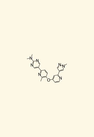 Cc1nc(-c2cnc(N(C)C)nc2)ccc1Oc1ccnc(-c2cnn(C)c2)c1